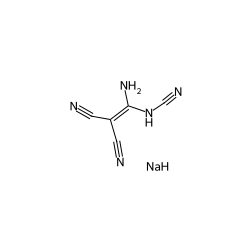 N#CNC(N)=C(C#N)C#N.[NaH]